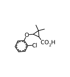 CC1(C)C(Oc2ccccc2Cl)C1C(=O)O